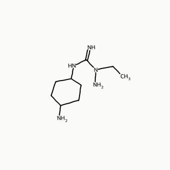 CCN(N)C(=N)NC1CCC(N)CC1